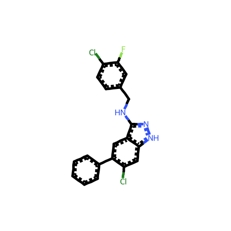 Fc1cc(CNc2n[nH]c3cc(Cl)c(-c4ccccc4)cc23)ccc1Cl